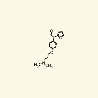 CN(C)CCCOc1ccc(C(C=O)c2ccco2)cc1